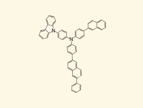 c1ccc(-c2ccc3cc(-c4ccc(N(c5ccc(-c6ccc7ccccc7c6)cc5)c5ccc(-n6c7ccccc7c7ccccc76)cc5)cc4)ccc3c2)cc1